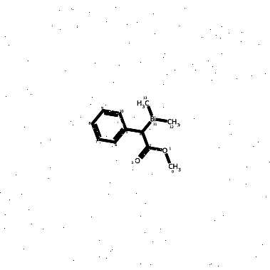 COC(=O)[CH](c1ccccc1)[Bi]([CH3])[CH3]